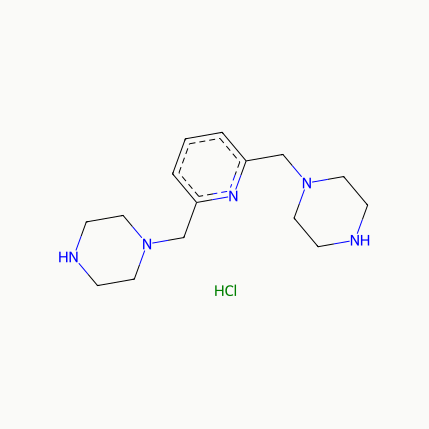 Cl.c1cc(CN2CCNCC2)nc(CN2CCNCC2)c1